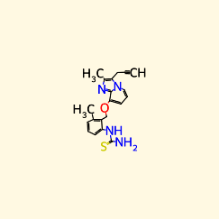 C#CCc1c(C)nc2c(OCc3c(C)cccc3NC(N)=S)cccn12